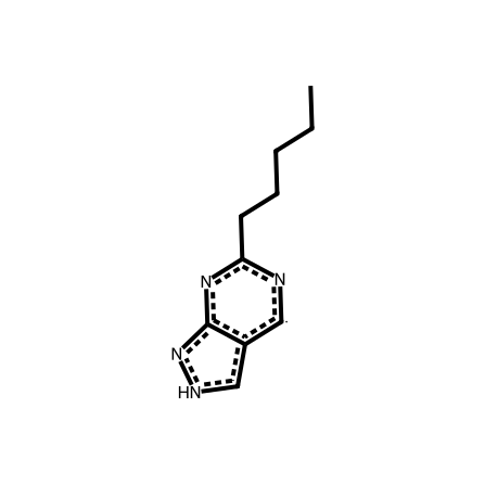 CCCCCc1n[c]c2c[nH]nc2n1